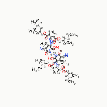 CCCCC(CC)COC(=O)c1cccc(C(=O)OCC(CC)CCCC)c1/N=N/c1c(C)c(C#N)c(=O)n(CCn2c(O)c(/N=N/c3c(C(=O)OCC(CC)CCCC)cccc3C(=O)OCC(CC)CCCC)c(C)c(C#N)c2=O)c1O